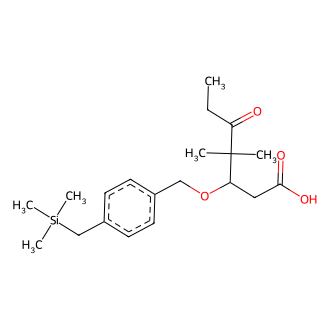 CCC(=O)C(C)(C)C(CC(=O)O)OCc1ccc(C[Si](C)(C)C)cc1